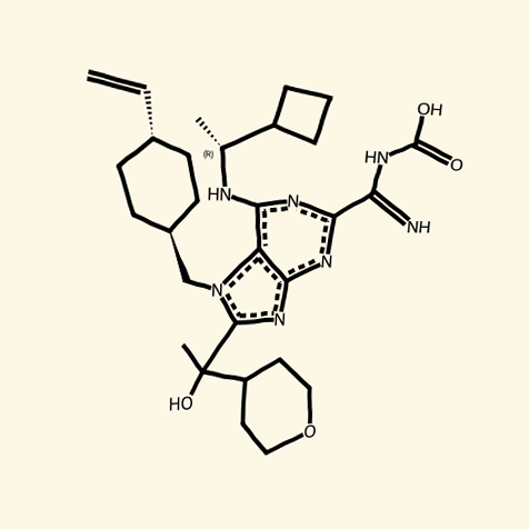 C=C[C@H]1CC[C@H](Cn2c(C(C)(O)C3CCOCC3)nc3nc(C(=N)NC(=O)O)nc(N[C@H](C)C4CCC4)c32)CC1